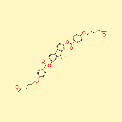 CC1(C)c2cc(OC(=O)c3ccc(OCCCCC4CO4)cc3)ccc2-c2ccc(OC(=O)c3ccc(OCCCCC4CO4)cc3)cc21